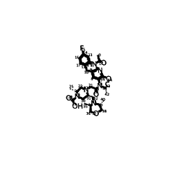 CC(=O)Nc1nc2c(cc1Cc1ccc(F)cc1)N(C(=O)CN1C[C@@H](C)N(C(=O)O)C[C@@H]1CN1[C@H](C)COC[C@H]1C)[C@@H](C)CO2